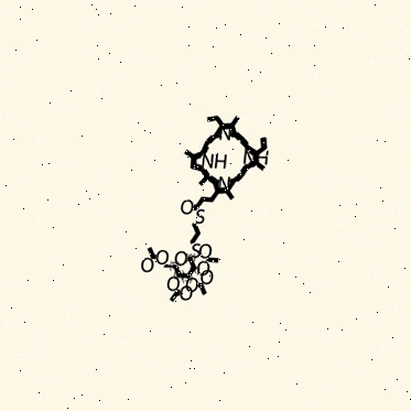 C=Cc1c(C)c2cc3nc(c(C)c4cc(C)c(cc5nc(cc1[nH]2)C(C)=C5CC)[nH]4)C(CCC(=O)SCCCS[C@@H]1O[C@H](COC(C)=O)[C@@H](OC(C)=O)[C@H](OC(C)=O)[C@H]1OC(C)=O)=C3C